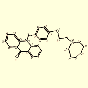 O=c1c2ccccc2n(Cc2ccc(OCCN3CCCCCC3)cc2)c2ccccc12